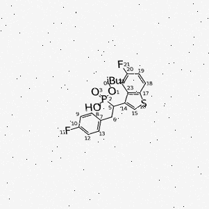 CCC(C)OP(=O)(O)C(Cc1ccc(F)cc1)c1csc2ccc(F)cc12